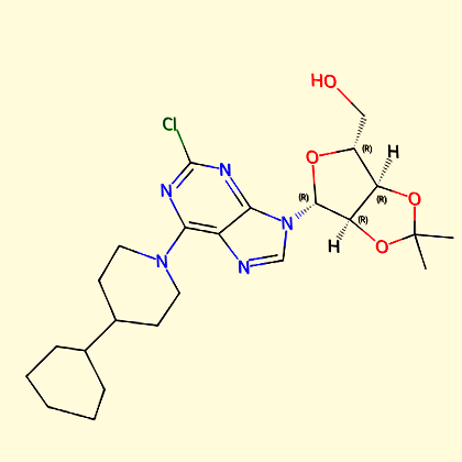 CC1(C)O[C@@H]2[C@H](O1)[C@@H](CO)O[C@H]2n1cnc2c(N3CCC(C4CCCCC4)CC3)nc(Cl)nc21